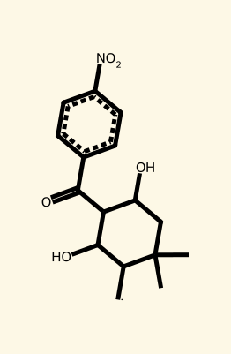 [CH2]C1C(O)C(C(=O)c2ccc([N+](=O)[O-])cc2)C(O)CC1(C)C